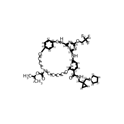 CC(C)OC(=O)N1CCCCOc2cc(ccc2C(=O)NCC2(CN3CCCC3)CC2)Nc2nc(nc(OCC(F)(F)F)n2)NCc2ccc(cc2)OCCC1